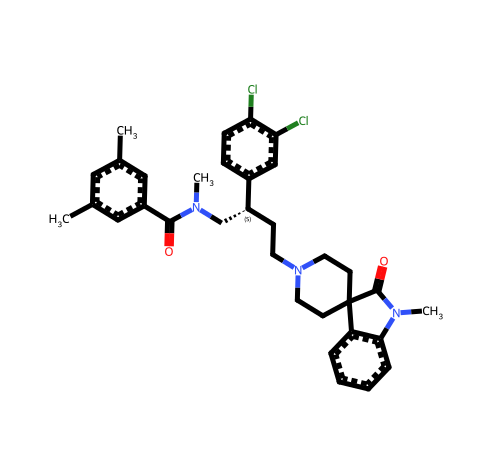 Cc1cc(C)cc(C(=O)N(C)C[C@@H](CCN2CCC3(CC2)C(=O)N(C)c2ccccc23)c2ccc(Cl)c(Cl)c2)c1